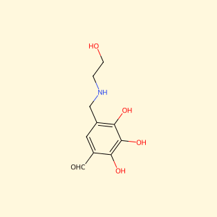 O=Cc1cc(CNCCO)c(O)c(O)c1O